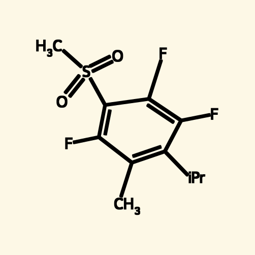 Cc1c(F)c(S(C)(=O)=O)c(F)c(F)c1C(C)C